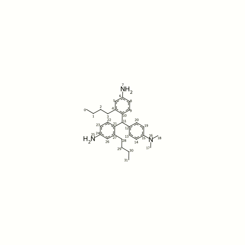 CCCCc1cc(N)ccc1C(c1ccc(N(C)C)cc1)c1ccc(N)cc1CCCC